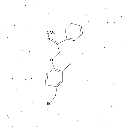 CON=C(COc1ccc(CBr)cc1F)c1ccccc1